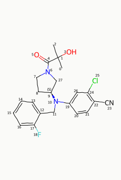 CC(C)(O)C(=O)N1CC[C@H](N(Cc2ccccc2F)c2ccc(C#N)c(Cl)c2)C1